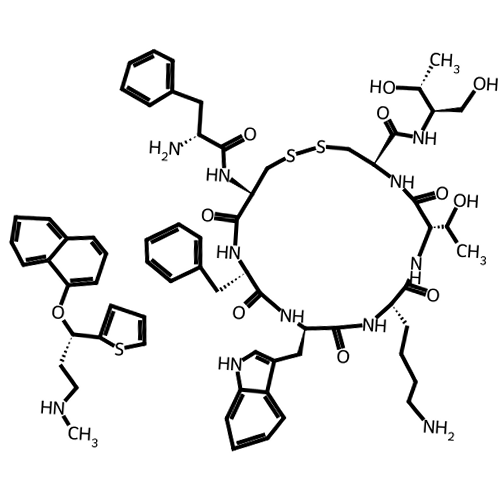 CC(O)[C@@H]1NC(=O)[C@H](CCCCN)NC(=O)[C@@H](Cc2c[nH]c3ccccc23)NC(=O)[C@H](Cc2ccccc2)NC(=O)[C@@H](NC(=O)[C@H](N)Cc2ccccc2)CSSC[C@@H](C(=O)N[C@H](CO)[C@@H](C)O)NC1=O.CNCC[C@H](Oc1cccc2ccccc12)c1cccs1